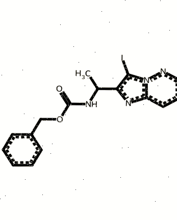 CC(NC(=O)OCc1ccccc1)c1nc2cccnn2c1I